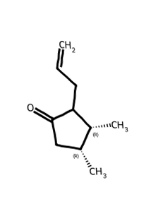 C=CCC1C(=O)C[C@@H](C)[C@H]1C